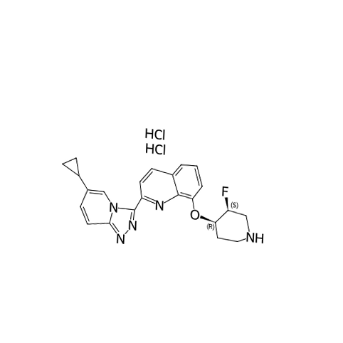 Cl.Cl.F[C@H]1CNCC[C@H]1Oc1cccc2ccc(-c3nnc4ccc(C5CC5)cn34)nc12